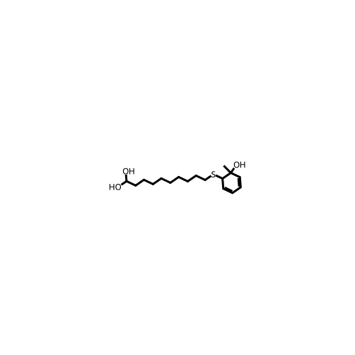 CC1(O)C=CC=CC1SCCCCCCCCCC(O)O